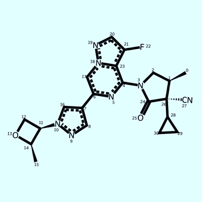 C[C@@H]1CN(c2nc(-c3cnn([C@@H]4CO[C@@H]4C)c3)cn3ncc(F)c23)C(=O)[C@]1(C#N)C1CC1